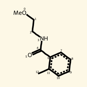 COCCNC(=O)c1cc[c]cc1C